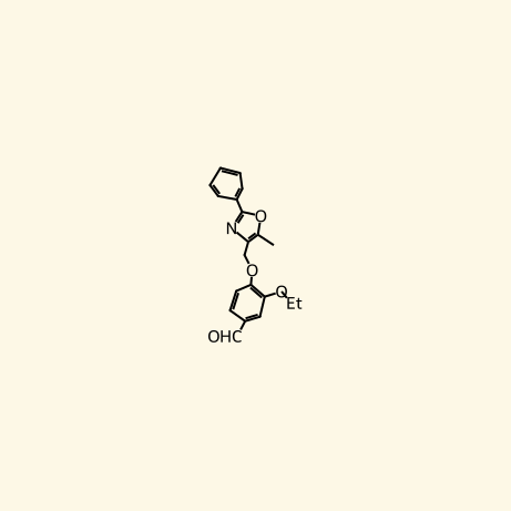 CCOc1cc(C=O)ccc1OCc1nc(-c2ccccc2)oc1C